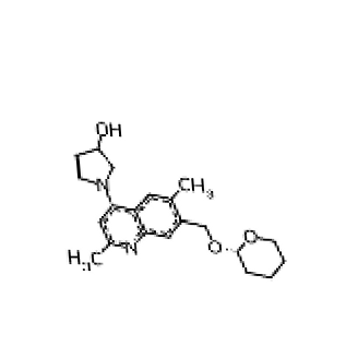 Cc1cc(N2CCC(O)C2)c2cc(C)c(CO[C@H]3CCCCO3)cc2n1